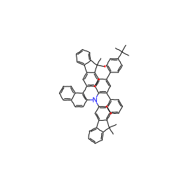 CC(C)(C)c1ccc(-c2ccc(N(c3ccc4c(c3)-c3ccccc3C4(C)C)c3ccc4ccccc4c3-c3ccc4c(c3)-c3ccccc3C4(C)C)c(-c3ccccc3)c2)cc1